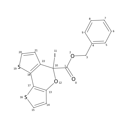 O=C(OCc1ccccc1)C1(I)Oc2ccsc2-c2sccc21